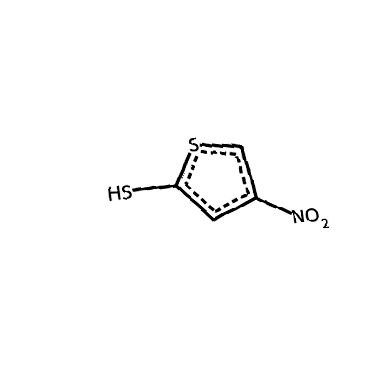 O=[N+]([O-])c1csc(S)c1